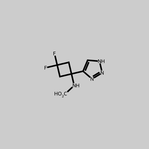 O=C(O)NC1(c2c[nH]nn2)CC(F)(F)C1